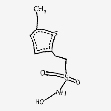 Cc1ccc(CS(=O)(=O)NO)s1